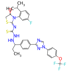 CCC(NNC(=S)/N=C1\SCC(=O)N1c1cc(F)ccc1C(C)C)c1ccc(-c2ncn(-c3ccc(OC(F)(F)F)cc3)n2)cc1